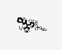 CC1=C[C@H](NC(=O)OC(C)(C)C)Cn2c1c(-c1cnc3ccccc3c1)c1c(N)ncnc12